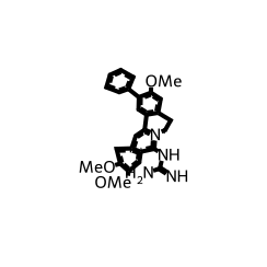 COc1cc2cc3[n+](c(NC(=N)N)c2cc1OC)CCc1cc(OC)c(-c2ccccc2)cc1-3